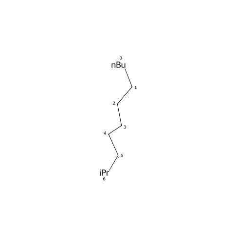 [CH2]CCCCCCC[CH]C(C)C